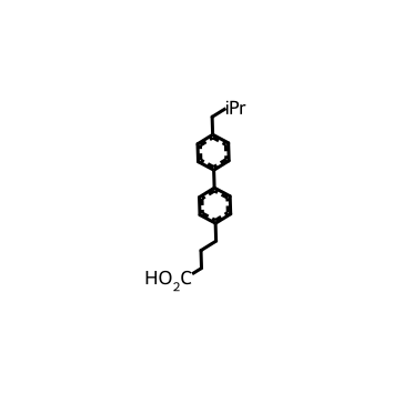 CC(C)Cc1ccc(-c2ccc(CCCC(=O)O)cc2)cc1